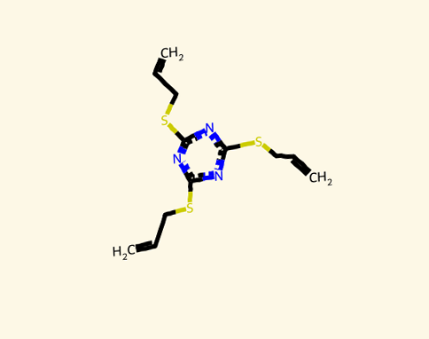 C=CCSc1nc(SCC=C)nc(SCC=C)n1